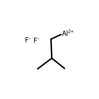 CC(C)[CH2][Al+2].[F-].[F-]